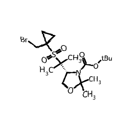 CC(C)(C)OC(=O)N1[C@@H](C(C)(C)S(=O)(=O)C2(CBr)CC2)COC1(C)C